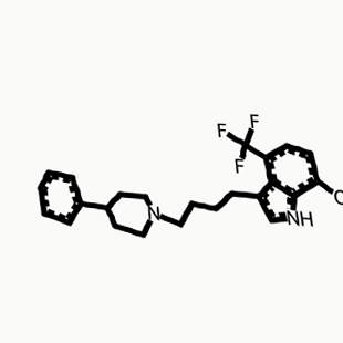 FC(F)(F)c1ccc(Cl)c2[nH]cc(CCCCN3CCC(c4ccccc4)CC3)c12